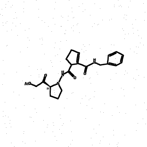 CC(=O)OCC(=O)[C@@H]1CCCN1NC(=O)C1CCC=C1C(=O)NCc1ccccc1